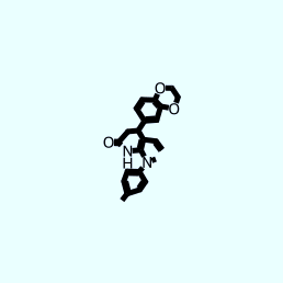 C=CC1=C(N(C)c2ccc(C)cc2)NC(=O)CC1c1ccc2c(c1)OCCO2